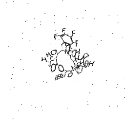 CCC(C)C1OC(=O)[C@H](C)[C@H](O)[C@H](Cc2c(F)c(F)c(F)c(F)c2F)NC(=O)[C@@H](NC(=O)c2ccccc2O)[C@@H](C)NC1=O